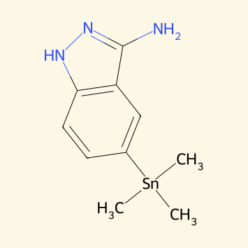 [CH3][Sn]([CH3])([CH3])[c]1ccc2[nH]nc(N)c2c1